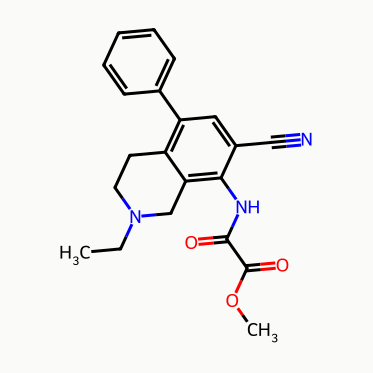 CCN1CCc2c(-c3ccccc3)cc(C#N)c(NC(=O)C(=O)OC)c2C1